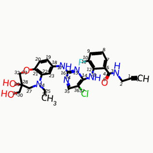 C#CCNC(=O)c1cccc(F)c1Nc1nc(Nc2ccc3c(c2)N(CC)CC(O)(CO)CO3)ncc1Cl